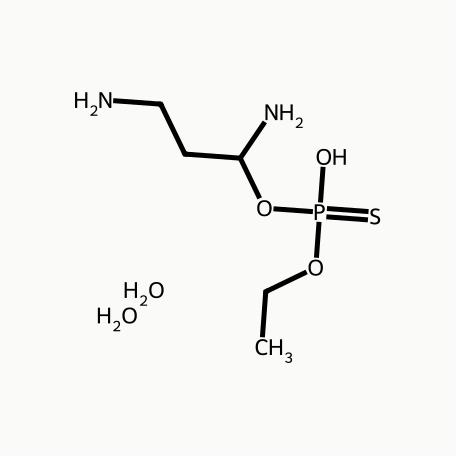 CCOP(O)(=S)OC(N)CCN.O.O